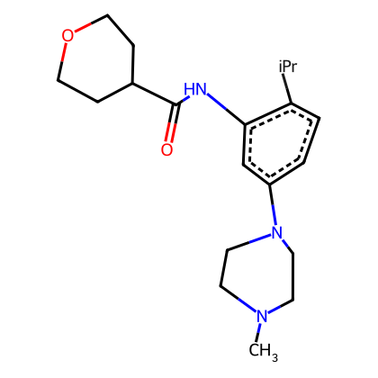 CC(C)c1ccc(N2CCN(C)CC2)cc1NC(=O)C1CCOCC1